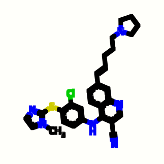 Cn1ccnc1Sc1ccc(Nc2c(C#N)cnc3cc(C=CCCCN4CCCC4)ccc23)cc1Cl